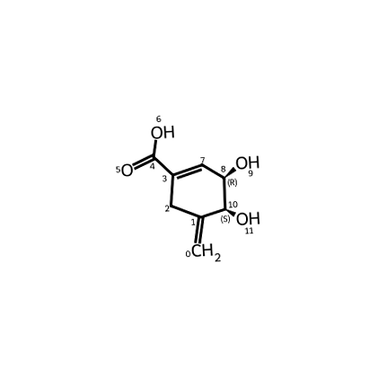 C=C1CC(C(=O)O)=C[C@@H](O)[C@H]1O